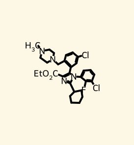 CCOC(=O)c1nc(C2CCCCC2)n(-c2cccc(Cl)c2F)c1-c1cc(Cl)ccc1CN1CCN(C)CC1